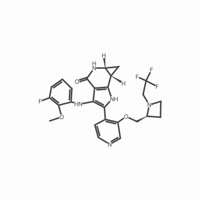 COc1c(F)cccc1Nc1c(-c2ccncc2OC[C@@H]2CCN2CC(F)(F)F)[nH]c2c1C(=O)N[C@@H]1C[C@H]21